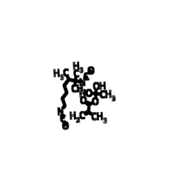 C=C(C)C(=O)OC(C)(O)O.CC(CCCCN=C=O)C(C)(C)N=C=O